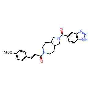 COc1ccc(/C=C/C(=O)N2CCC3CN(C(=O)c4ccc5[nH]nnc5c4)CC3CC2)cc1